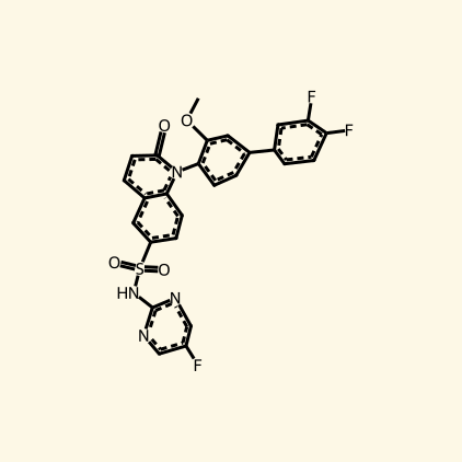 COc1cc(-c2ccc(F)c(F)c2)ccc1-n1c(=O)ccc2cc(S(=O)(=O)Nc3ncc(F)cn3)ccc21